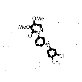 COc1cnn(-c2cccc(Oc3ccc(C(F)(F)F)c(Cl)c3)c2)c(=O)c1OC